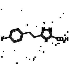 O=C(O)c1nnc(CCc2ccc(F)cc2)s1